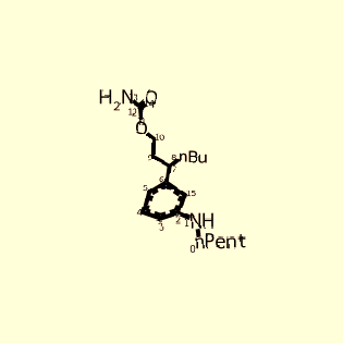 CCCCCNc1cccc(C(CCCC)CCOC(N)=O)c1